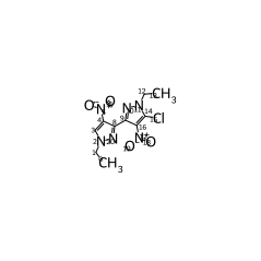 CCn1cc([N+](=O)[O-])c(-c2nn(CC)c(Cl)c2[N+](=O)[O-])n1